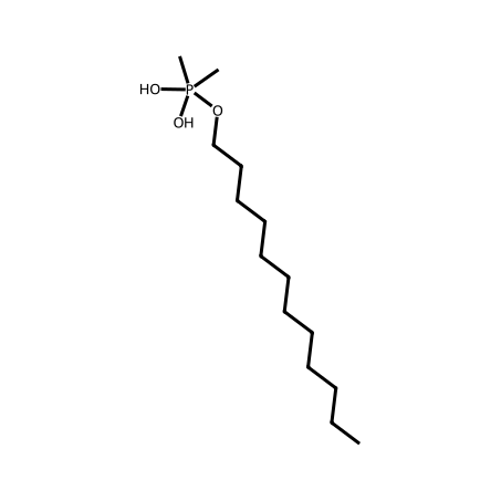 CCCCCCCCCCCCOP(C)(C)(O)O